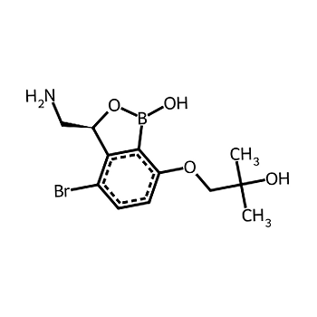 CC(C)(O)COc1ccc(Br)c2c1B(O)O[C@@H]2CN